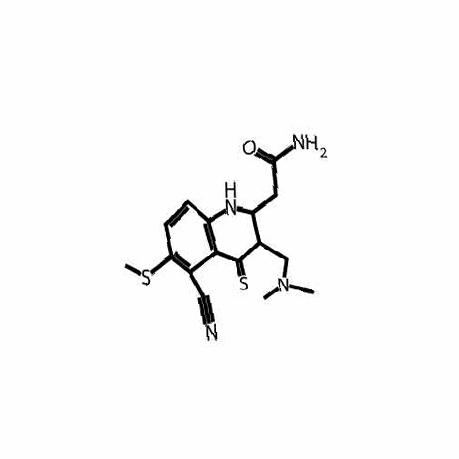 CSc1ccc2c(c1C#N)C(=S)C(CN(C)C)C(CC(N)=O)N2